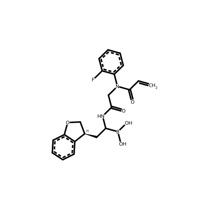 C=CC(=O)N(CC(=O)NC(C[C@@H]1COc2ccccc21)B(O)O)c1ccccc1F